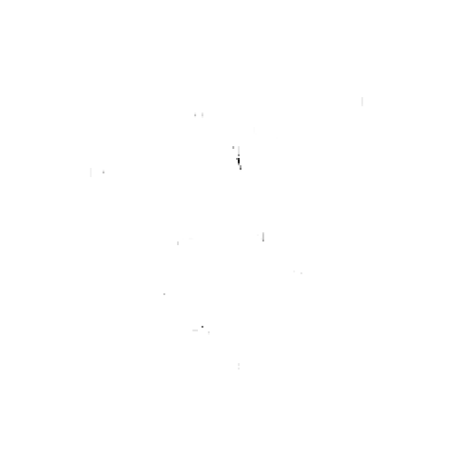 CN(C(=O)c1cc(C(F)(F)F)cc(C(F)(F)F)c1)[C@@H]1CCN(C(=O)C2CC(=O)NC(=O)C2)C[C@H]1c1ccc(Cl)c(Cl)c1